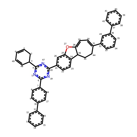 C1=CCC(c2nc(-c3ccc(-c4ccccc4)cc3)nc(-c3ccc4c(c3)OC3=CC=C(c5cccc(-c6ccccc6)c5)CCC34)n2)C=C1